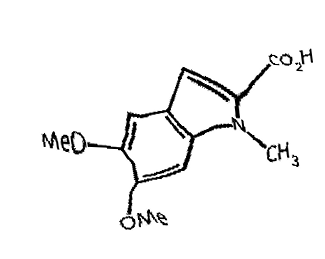 COc1cc2cc(C(=O)O)n(C)c2cc1OC